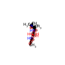 CCCN(CCC)C(=O)c1cc(C)cc(C(=O)NOC[C@H](O)[C@H](O)C(O)CONC(=O)COCCOC)c1